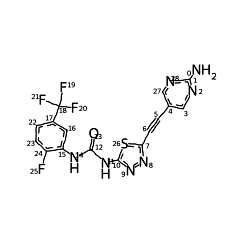 Nc1ncc(C#Cc2nnc(NC(=O)Nc3cc(C(F)(F)F)ccc3F)s2)cn1